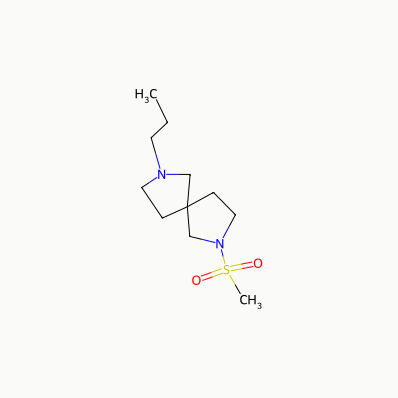 CCCN1CCC2(CCN(S(C)(=O)=O)C2)C1